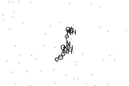 CN(CCCc1ccc(CNC(=O)OC(C)(C)C)cc1)CCNC(=O)c1cc2cc(OCc3ccccc3)ccc2[nH]1